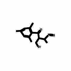 Cc1cc(C)c(C(=O)C(CC(C)C)C(C)P=O)c(C)c1